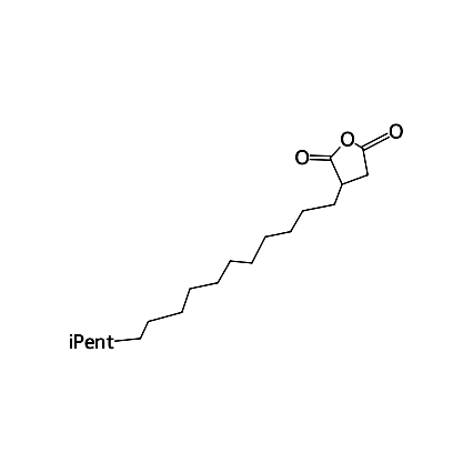 CCCC(C)CCCCCCCCCCCC1CC(=O)OC1=O